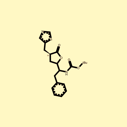 CC(C)(C)OC(=O)NC(Cc1ccccc1)C1C[C@@H](Cc2cncs2)C(=O)O1